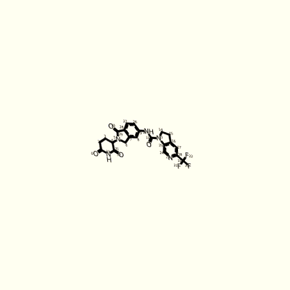 O=C1CCC(N2Cc3cc(NC(=O)N4CCc5cc(C(F)(F)F)ncc54)ccc3C2=O)C(=O)N1